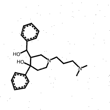 CN(C)CCCN1CCC(O)(c2ccccc2)C(C(O)c2ccccc2)C1